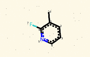 [CH2]c1cccnc1F